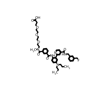 CCCN(CCC)c1ccc(NC(=O)c2cccc(C(=O)N(C)CCOCCOCCOCCC(=O)O)c2)c(-c2cc(C(=O)NCc3cccc(CF)c3)ccn2)c1